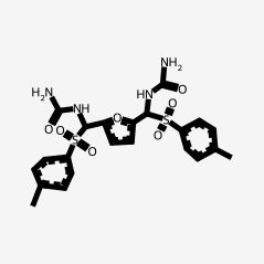 Cc1ccc(S(=O)(=O)C(NC(N)=O)c2ccc(C(NC(N)=O)S(=O)(=O)c3ccc(C)cc3)o2)cc1